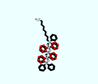 [CH2]CCCCCCCC[Si](O[Si](O[Si](O[Si](O[Si](c1ccccc1)(c1ccccc1)c1ccccc1)(c1ccccc1)c1ccccc1)(c1ccccc1)c1ccccc1)(c1ccccc1)c1ccccc1)(c1ccccc1)c1ccccc1